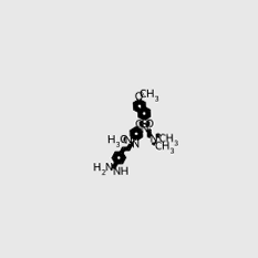 CCN(CC)CCN(c1ccc2c(c1)nc(CCc1ccc(C(=N)N)cc1)n2C)S(=O)(=O)c1ccc2cc(OC)ccc2c1